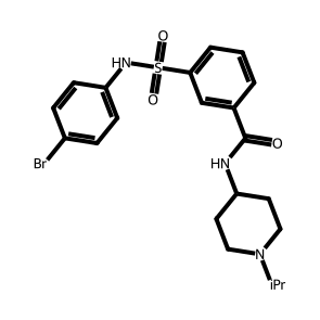 CC(C)N1CCC(NC(=O)c2cccc(S(=O)(=O)Nc3ccc(Br)cc3)c2)CC1